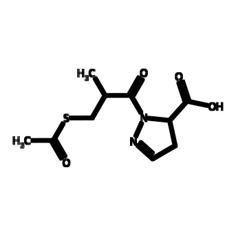 CC(=O)SCC(C)C(=O)N1N=CCC1C(=O)O